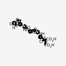 Cn1c(=O)n(C2CCC(=O)NC2=O)c2ccc(N3CCC(C(=O)Nc4cccc(CS(=O)(=O)N5CCC(Nc6cccc(-c7sc(C(=O)O)c(OCC(=O)O)c7Cl)c6)CC5)c4)CC3)cc21